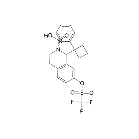 O=C(O)N1CCc2ccc(OS(=O)(=O)C(F)(F)F)cc2C1C1(c2ccccn2)CCC1